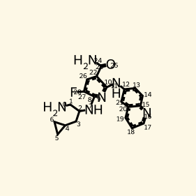 NCC(CC1CC1)Nc1nc(Nc2ccc3ncccc3c2)c(C(N)=O)cc1F